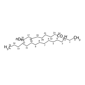 CCCCCCCCCCCCCCCC.CCCCCCCCCCCCCCCCCC(=O)O